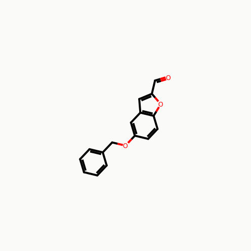 O=Cc1cc2cc(OCc3ccccc3)ccc2o1